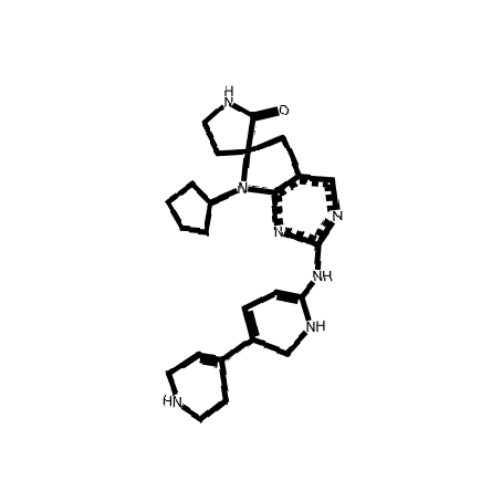 O=C1NCCC12Cc1cnc(NC3=CC=C(C4=CCNCC4)CN3)nc1N2C1CCCC1